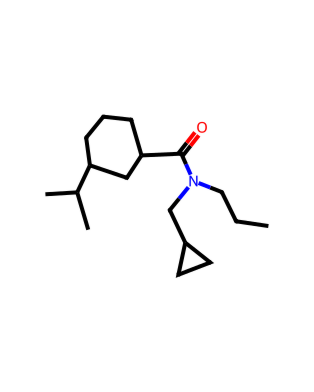 CCCN(CC1CC1)C(=O)C1CCCC(C(C)C)C1